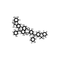 CC1(C)c2ccccc2-c2ccc(N(c3ccccc3)c3ccc4c(c3)Oc3ccc(N(c5ccccc5)c5ccc6c(c5)C(C)(C)c5ccccc5-6)c5cccc(c35)O4)cc21